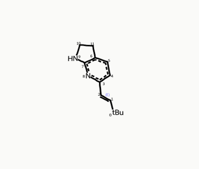 CC(C)(C)/C=C/c1ccc2c(n1)NCC2